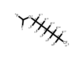 FC(F)OC(F)(F)C(F)(F)C(F)(F)C(F)(F)C(F)(F)C(F)(F)F